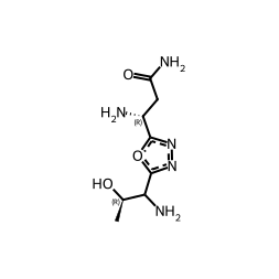 C[C@@H](O)C(N)c1nnc([C@H](N)CC(N)=O)o1